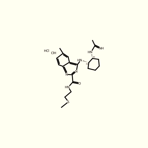 CSCCNC(=O)c1nc(N[C@H]2CCCC[C@H]2NC(C)=N)c2cc(C)ccc2n1.Cl.Cl